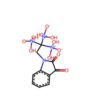 O=C1C(=O)N(CC([N+]([O-])(O)O)([N+]([O-])(O)O)[N+]([O-])(O)O)c2ccccc21